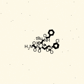 CC(C)(C)[C@H](NC(=O)CC1CCCCC1)C(=O)N1C[C@]2(C[C@H]1C(=O)NC(=O)C(N)=O)CN(c1cccc(Cl)c1)C(=O)O2